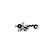 CC(C)Oc1cc(F)ccc1Nc1ncnc2sc(CCCC3CCOCC3)nc12